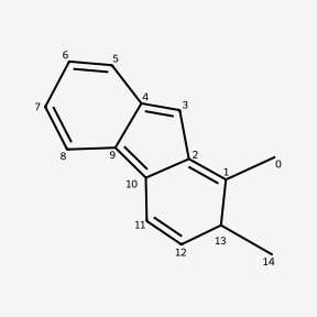 CC1=C2C=c3ccccc3=C2C=CC1C